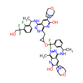 Cc1nnc(N[C@H](C)c2cccc(C(F)(F)OC3CC3Cc3nnc(N[C@H](C)c4cccc(C(F)(F)CO)c4F)c4cc(N5C6CCC5COC6)c(O)nc34)c2)c2cc(N3C4CCC3COC4)c(O)nc12